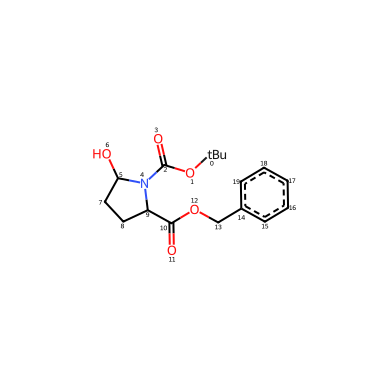 CC(C)(C)OC(=O)N1C(O)CCC1C(=O)OCc1ccccc1